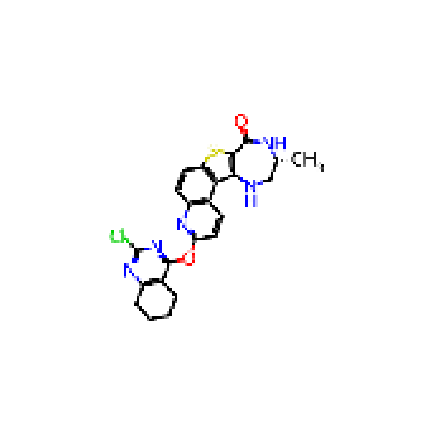 C[C@@H]1CNc2c(sc3ccc4nc(Oc5nc(Cl)nc6c5CCCC6)ccc4c23)C(=O)N1